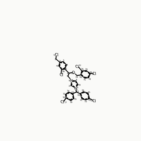 ClCc1ccc(C(Cn2cc[n+](C(c3ccc(Cl)cc3)c3ccc(Cl)cc3)c2)OCc2ccc(Cl)cc2Cl)c(Cl)c1